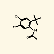 CC(=O)Nc1cc(Cl)c(Cl)cc1C(C)(C)C